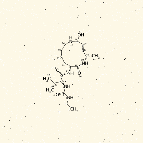 CCNC(=O)N[C@H](C(=O)N[C@H]1CSCCNC(O)/C=C/[C@H](C)NC1=O)C(C)C